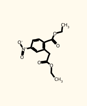 CCOC(=O)Cc1cc([N+](=O)[O-])ccc1C(=O)OCC